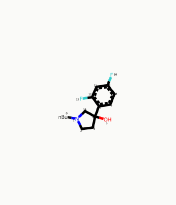 CCCCN1CCC(O)(c2ccc(F)cc2F)C1